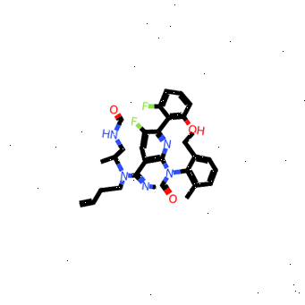 C=CCCN(/C(=N/C)c1cc(F)c(-c2c(O)cccc2F)nc1N(C=O)c1c(C)cccc1CC)C(C)CNC=O